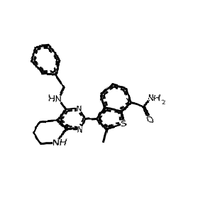 Cc1sc2c(C(N)=O)cccc2c1-c1nc2c(c(NCc3ccccc3)n1)CCCN2